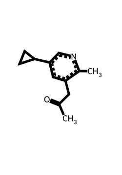 CC(=O)Cc1cc(C2CC2)cnc1C